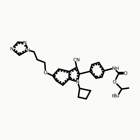 CC(OC(=O)Nc1ccc(-c2c(C#N)c3cc(OCCCn4cncn4)ccc3n2C2CCC2)cc1)C(C)(C)C